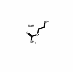 CCCCCOC(N)=S.[NaH]